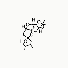 CC(C)[C@H](C)C[C@]1(O)CC[C@@H]2O[C@@H]3C[C@]2(C[C@H]2OC(C)(C)OC32)O1